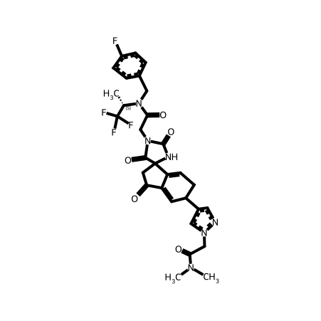 C[C@H](N(Cc1ccc(F)cc1)C(=O)CN1C(=O)NC2(CC(=O)C3=CC(c4cnn(CC(=O)N(C)C)c4)CC=C32)C1=O)C(F)(F)F